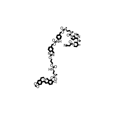 COc1ccc2cc3[n+](cc2c1OC(=O)N(C)CCNC(=O)OCCCOc1ncc2cc(COC(=O)Nc4ccc(COC(=O)N(C)CCN(C)C(=O)n5ccc6c(N(C)[C@@H]7CN(C(=O)CC#N)CC[C@@H]7C)ncnc65)cc4)ccc2n1)CCc1cc2c(cc1-3)OCO2